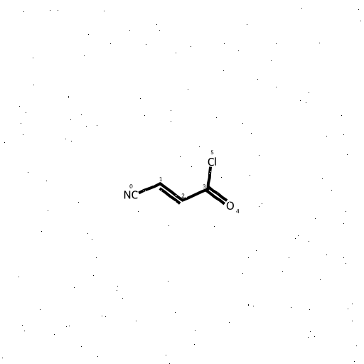 N#CC=CC(=O)Cl